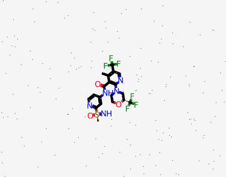 Cc1c(C(F)(F)F)cnc(N2CCO[C@@H](C(F)(F)F)C2)c1C(=O)Nc1ccnc([S@](C)(=N)=O)c1